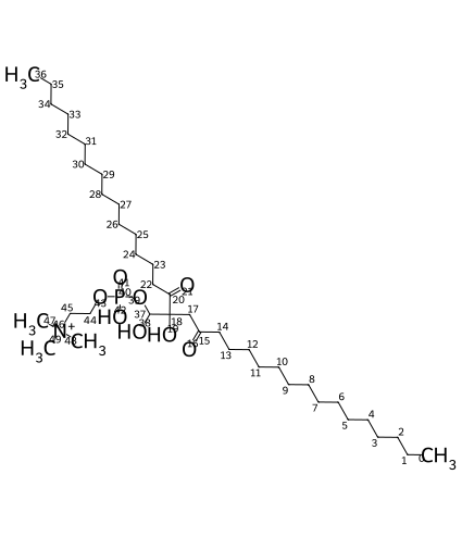 CCCCCCCCCCCCCCCC(=O)CC(O)(C(=O)CCCCCCCCCCCCCCC)C(O)OP(=O)(O)OCC[N+](C)(C)C